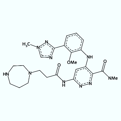 CNC(=O)c1nnc(NC(=O)CCN2CCCNCC2)cc1Nc1cccc(-c2ncn(C)n2)c1OC